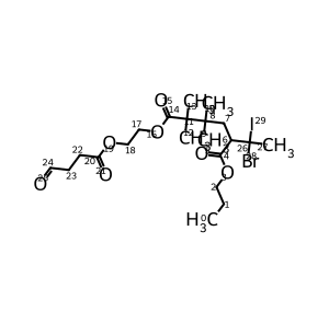 CCCOC(=O)C(CC(C)(C)C(C)(C)C(=O)OCCOC(=O)CCC=O)C(C)(Br)I